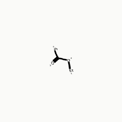 [CH2]C(C)C(=O)OCC